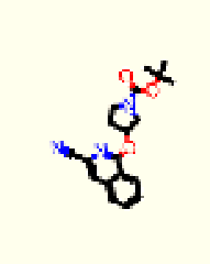 CC(C)(C)OC(=O)N1CCC(Oc2nc(C#N)cc3ccccc23)C1